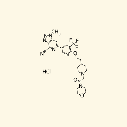 Cl.Cn1nnc2c(C#N)nc(-c3cnc(OCCC4CCN(CC(=O)N5CCOCC5)CC4)c(C(F)(F)F)c3)cc21